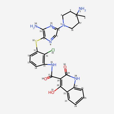 CC1(N)CCN(c2cnc(Sc3cccc(NC(=O)c4c(O)c5ccccc5[nH]c4=O)c3Cl)c(N)n2)CC1